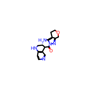 Nc1c2c(nn1C(=O)C1CCNc3ccncc31)COCC2